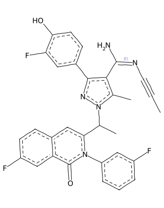 CC#C/N=C(/N)c1c(-c2ccc(O)c(F)c2)nn(C(C)c2cc3ccc(F)cc3c(=O)n2-c2cccc(F)c2)c1C